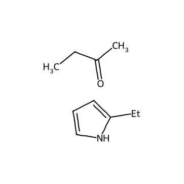 CCC(C)=O.CCc1ccc[nH]1